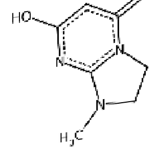 CN1CCn2c1nc(O)cc2=O